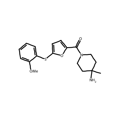 COc1ccccc1Sc1ccc(C(=O)N2CCC(C)(N)CC2)o1